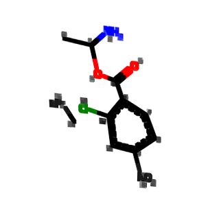 CC(N)OC(=O)c1ccc([N+](=O)[O-])cc1Cl.CCCC